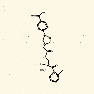 Cc1ccccc1C(=O)[C@@](N)(CNC(=O)C[C@H]1C[C@@H](c2ccc(C(=N)N)cc2)NO1)C(=O)O